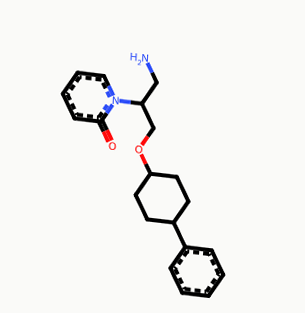 NCC(COC1CCC(c2ccccc2)CC1)n1ccccc1=O